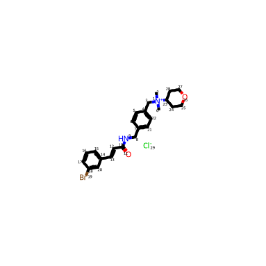 C[N+](C)(Cc1ccc(CNC(=O)C=Cc2cccc(Br)c2)cc1)C1CCOCC1.[Cl-]